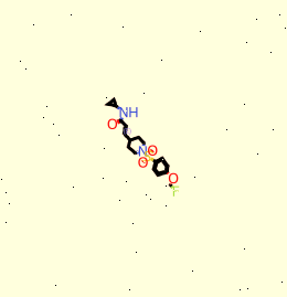 O=C(/C=C/C1CCN(S(=O)(=O)c2ccc(OCF)cc2)CC1)NC1CC1